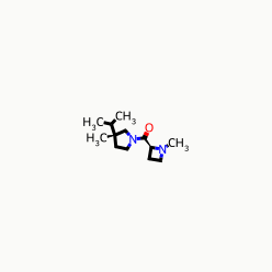 CC(C)[C@@]1(C)CCN(C(=O)[C@@H]2CCN2C)C1